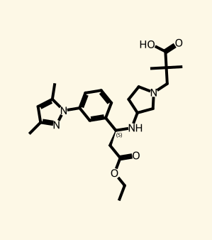 CCOC(=O)C[C@H](NC1CCN(CC(C)(C)C(=O)O)C1)c1cccc(-n2nc(C)cc2C)c1